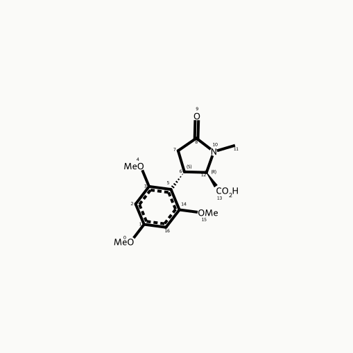 COc1cc(OC)c([C@@H]2CC(=O)N(C)[C@H]2C(=O)O)c(OC)c1